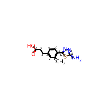 Cc1cc(CCC(=O)O)ccc1-c1nnc(N)s1